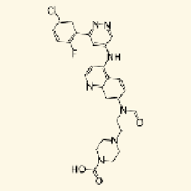 O=CN(CCN1CCN(C(=O)O)CC1)c1ccc2c(Nc3cnnc(-c4cc(Cl)ccc4F)c3)ccnc2c1